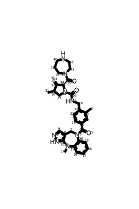 Cc1cc(C(=O)N2Cc3cn[nH]c3N(C)c3ccccc32)ccc1CNC(=O)N1CC(C)C(=S)[C@H]1C(=O)N1CCCNCC1